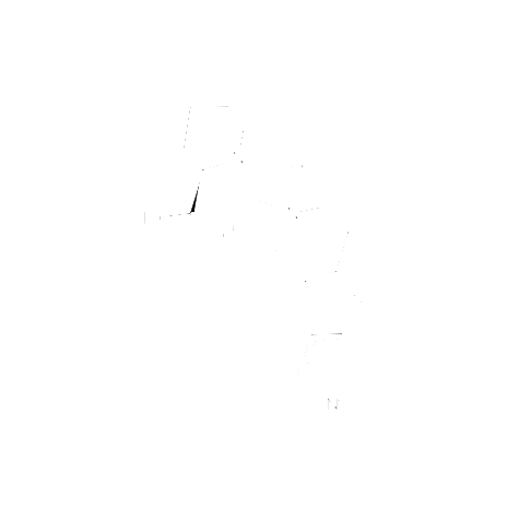 O=C(O)[C@H]1CCCCN1S(=O)(=O)N1CCC(Sc2ccncc2)CC1